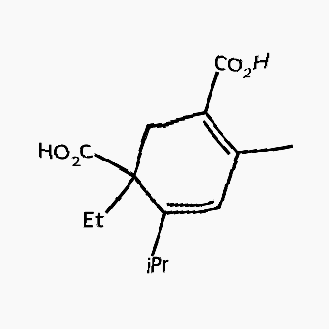 CCC1(C(=O)O)CC(C(=O)O)=C(C)C=C1C(C)C